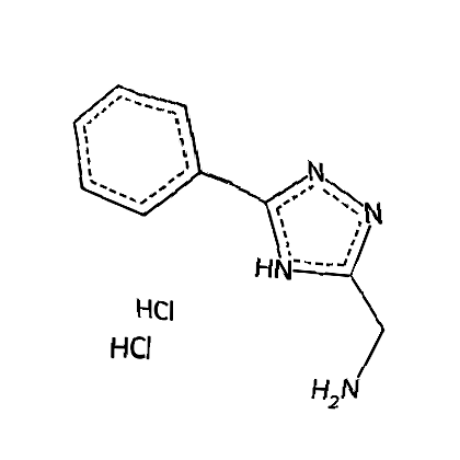 Cl.Cl.NCc1nnc(-c2ccccc2)[nH]1